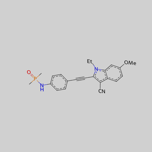 CCn1c(C#Cc2ccc(NP(C)(C)=O)cc2)c(C#N)c2ccc(OC)cc21